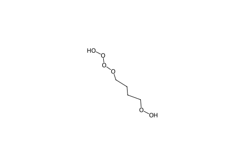 OOCCCCOOOO